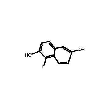 Oc1ccc2c(F)c(O)ccc2c1